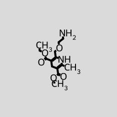 CCOC(=O)C1=C(COCCN)NC(C)=C(C(=O)OC)C1